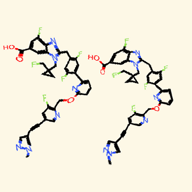 Cn1cc(C#Cc2cnc(COc3cccc(-c4cc(F)c(Cc5nc6c(F)cc(C(=O)O)cc6n5CC5(CF)CC5)cc4F)n3)c(F)c2)cn1.Cn1cc(C#Cc2cnc(COc3cccc(-c4cc(F)c(Cc5nc6c(F)cc(C(=O)O)cc6n5CC5(CF)CC5)cc4F)n3)c(F)c2)cn1